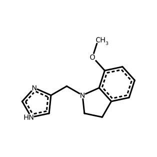 COc1cccc2c1N(Cc1c[nH]cn1)CC2